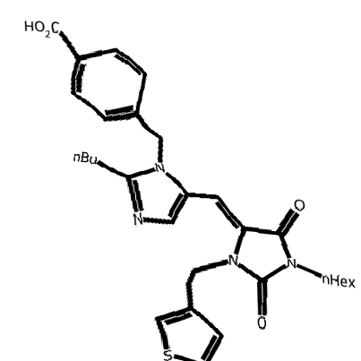 CCCCCCN1C(=O)/C(=C/c2cnc(CCCC)n2Cc2ccc(C(=O)O)cc2)N(Cc2ccsc2)C1=O